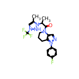 CC1=CN(C(F)(F)F)NN1C(C)C(=O)N1CCCc2c1cnn2-c1ccc(F)cc1